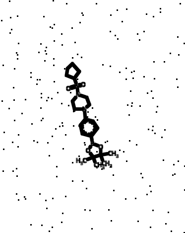 CC1(C)OB(c2ccc(N3CCN(S(=O)(=O)C4CCCC4)CC3)cc2)OC1(C)C